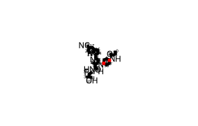 C=CC(=O)NC12CCC(Nc3cc(-c4ccc5cc(C#N)cnn45)ncc3C(=O)NC[C@@H](F)C(C)(C)O)(CC1)CC2